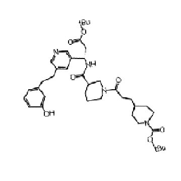 CC(C)(C)OC(=O)C[C@H](NC(=O)[C@@H]1CCCN(C(=O)CCC2CCN(C(=O)OC(C)(C)C)CC2)C1)c1cncc(CCc2cccc(O)c2)c1